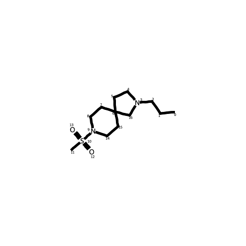 CCCN1CCC2(CCN(S(C)(=O)=O)CC2)C1